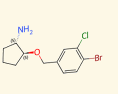 N[C@H]1CCC[C@@H]1OCc1ccc(Br)c(Cl)c1